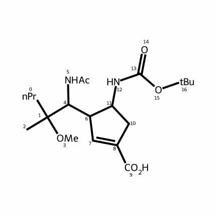 CCCC(C)(OC)C(NC(C)=O)C1C=C(C(=O)O)CC1NC(=O)OC(C)(C)C